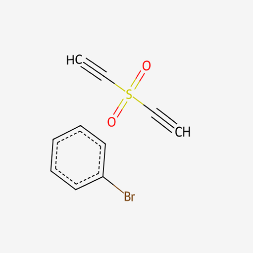 Brc1ccccc1.C#CS(=O)(=O)C#C